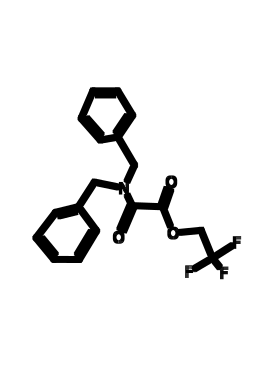 O=C(OCC(F)(F)F)C(=O)N(Cc1ccccc1)Cc1ccccc1